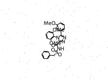 COc1cccc(-c2nnc(C(=O)NS(=O)(=O)Cc3ccccc3)n2-c2c(OC)cccc2OC)n1